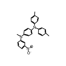 Cc1ccc(N(c2ccc(C)cc2)c2ccc(N(C)c3cccc([N+](=O)[O-])c3)cc2)cc1